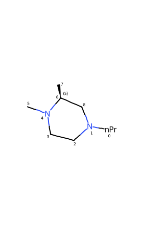 CCCN1CCN(C)[C@@H](C)C1